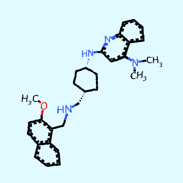 COc1ccc2ccccc2c1CNC[C@H]1CC[C@@H](Nc2cc(N(C)C)c3ccccc3n2)CC1